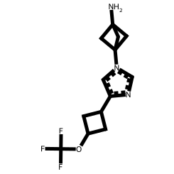 NC12CC(n3cnc(C4CC(OC(F)(F)F)C4)c3)(C1)C2